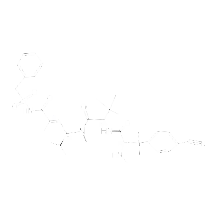 CN[C@H](C(=O)N[C@H](C(=O)N(C)[C@H](/C=C(\C)C(=O)NS(=O)(=O)Cc1ccccc1)C(C)C)C(C)(C)C)C(C)(C)c1ccc(C#N)cc1